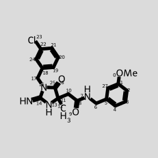 COc1cccc(CNC(=O)CC2(C)NC(=N)N(Cc3cccc(Cl)c3)C2=O)c1